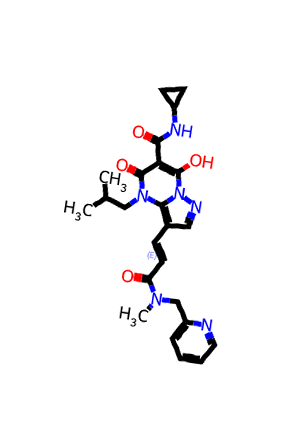 CC(C)Cn1c(=O)c(C(=O)NC2CC2)c(O)n2ncc(/C=C/C(=O)N(C)Cc3ccccn3)c12